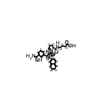 N=C(N)c1cccc(C[C@](N)(C(=O)N2CCC[C@H]2C(=O)NCCCC(=O)O)S(=O)(=O)c2ccc3ccccc3c2)c1